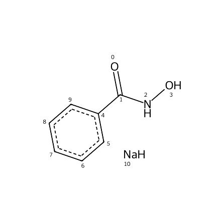 O=C(NO)c1ccccc1.[NaH]